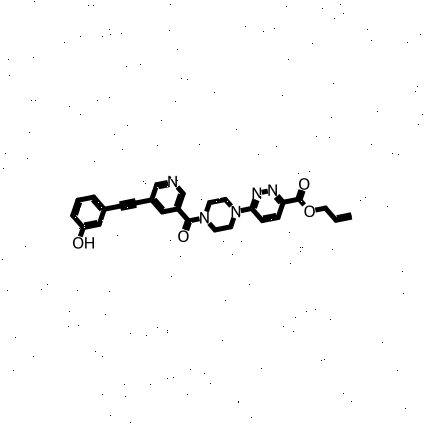 C=CCOC(=O)c1ccc(N2CCN(C(=O)c3cncc(C#Cc4cccc(O)c4)c3)CC2)nn1